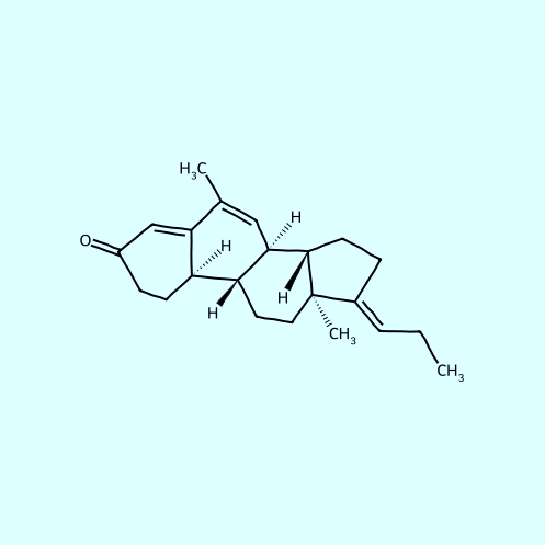 CCC=C1CC[C@H]2[C@@H]3C=C(C)C4=CC(=O)CC[C@@H]4[C@H]3CC[C@]12C